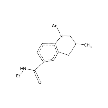 CCNC(=O)c1ccc2c(c1)CC(C)CN2C(C)=O